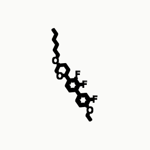 CCCCCCOC1CCC(c2ccc(-c3ccc(OCC)c(F)c3)c(F)c2F)OC1